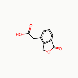 O=C(O)Cc1cccc2c1COC2=O